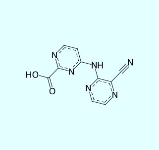 N#Cc1nccnc1Nc1ccnc(C(=O)O)n1